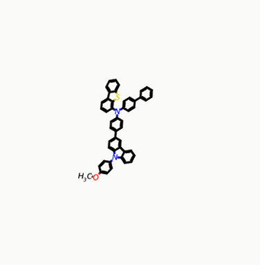 COc1ccc(-n2c3ccccc3c3cc(-c4ccc(N(c5ccc(-c6ccccc6)cc5)c5cccc6c5sc5ccccc56)cc4)ccc32)cc1